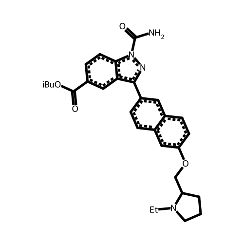 CCN1CCCC1COc1ccc2cc(-c3nn(C(N)=O)c4ccc(C(=O)OCC(C)C)cc34)ccc2c1